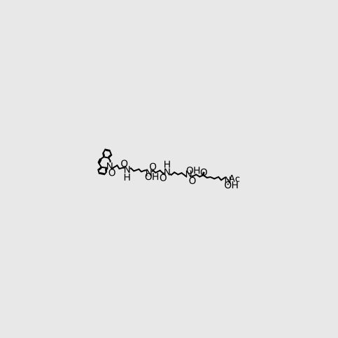 CC(=O)N(O)CCCCCCC(=O)CCC(=O)N(O)CCCCCNC(=O)CCC(=O)N(O)CCCCCNC(=O)CCC(=O)N1Cc2ccccc2C#Cc2ccccc21